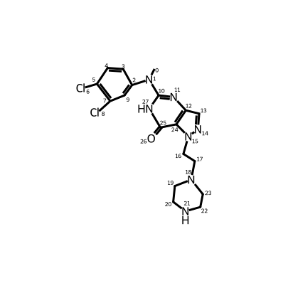 CN(c1ccc(Cl)c(Cl)c1)c1nc2cnn(CCN3CCNCC3)c2c(=O)[nH]1